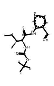 CC[C@H](C)[C@H](NC(=O)OC(C)(C)C)C(=O)Nc1cnccc1C=O